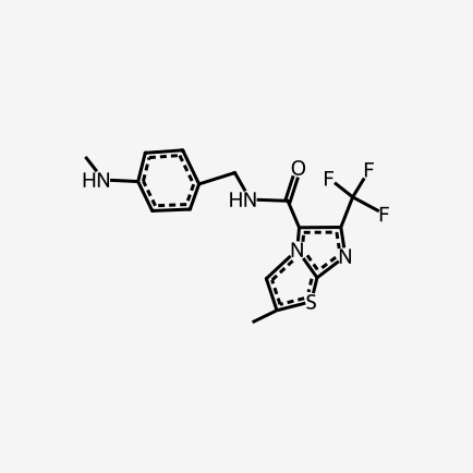 CNc1ccc(CNC(=O)c2c(C(F)(F)F)nc3sc(C)cn23)cc1